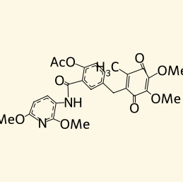 COC1=C(OC)C(=O)C(Cc2ccc(OC(C)=O)c(C(=O)Nc3ccc(OC)nc3OC)c2)=C(C)C1=O